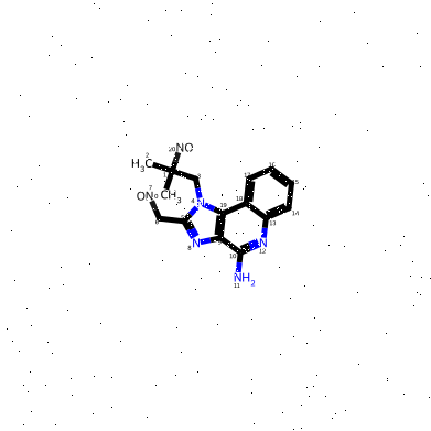 CC(C)(Cn1c(CN=O)nc2c(N)nc3ccccc3c21)N=O